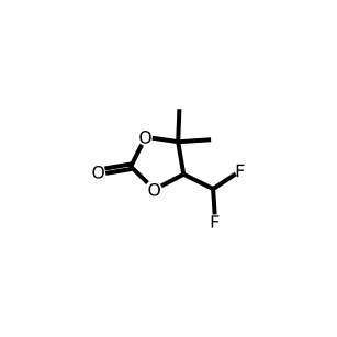 CC1(C)OC(=O)OC1C(F)F